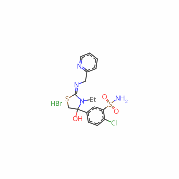 Br.CCN1C(=NCc2ccccn2)SCC1(O)c1ccc(Cl)c(S(N)(=O)=O)c1